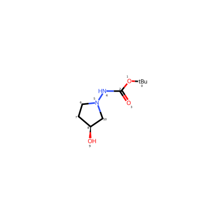 CC(C)(C)OC(=O)NN1CC[C@H](O)C1